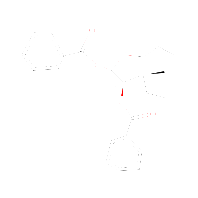 CCC1OC(OC(=O)c2ccccc2)[C@H](OC(=O)c2ccccc2)[C@@]1(C)CC